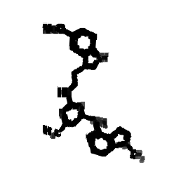 COc1ccc2[nH]cc(CCNc3nc(C)cc(Nc4cccc5c4ccn5C)n3)c2c1